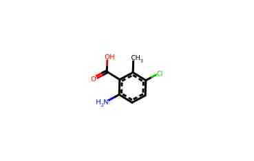 Cc1c(Cl)ccc(N)c1C(=O)O